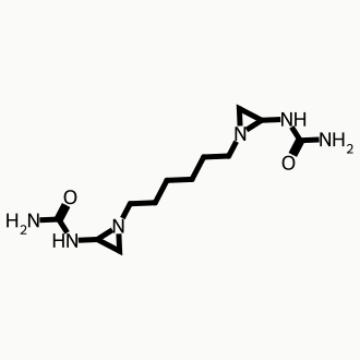 NC(=O)NC1CN1CCCCCCN1CC1NC(N)=O